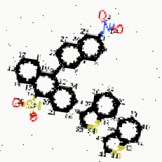 O=[N+]([O-])c1ccc2cc(-c3c4ccccc4c([SH](=O)=O)c4ccccc34)ccc2c1.c1ccc2sccc2c1.c1ccc2sccc2c1